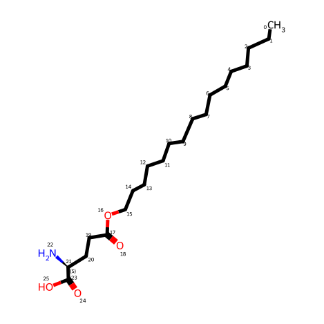 CCCCCCCCCCCCCCCCOC(=O)CC[C@H](N)C(=O)O